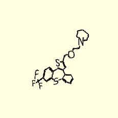 FC(F)(F)c1ccc2c(c1)Sc1ccccc1-c1cc(COCCN3CCCCC3)sc1-2